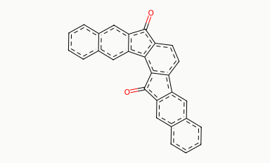 O=c1c2cc3ccccc3cc2c2c1ccc1c3cc4ccccc4cc3c(=O)c12